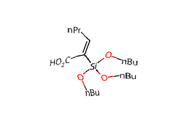 CCC/C=C(\C(=O)O)[Si](OCCCC)(OCCCC)OCCCC